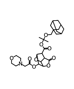 CC(C)(OCC12CC3CC(CC(C3)C1)C2)OC(=O)C1C2OC3C(OC(=O)C31)C2OC(=O)CN1CCOCC1